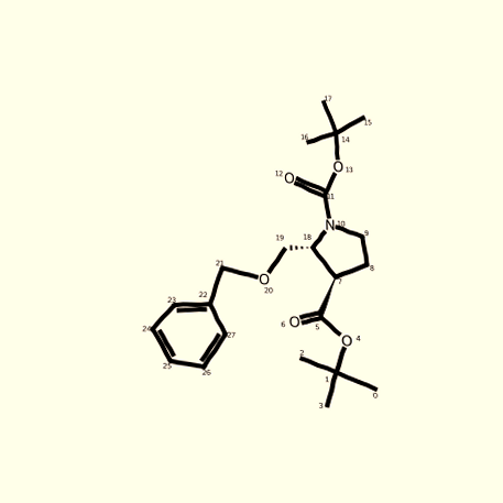 CC(C)(C)OC(=O)[C@@H]1CCN(C(=O)OC(C)(C)C)[C@H]1COCc1ccccc1